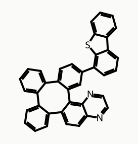 c1ccc2c(c1)-c1ccccc1-c1ccc3nccnc3c1-c1cc(-c3cccc4c3sc3ccccc34)ccc1-2